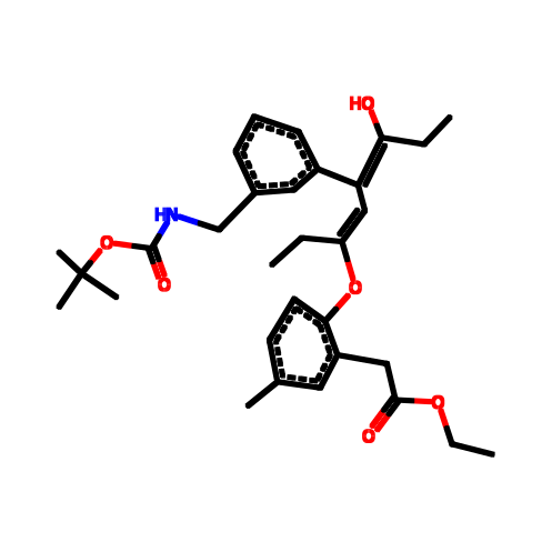 CCOC(=O)Cc1cc(C)ccc1O/C(=C/C(=C(/O)CC)c1cccc(CNC(=O)OC(C)(C)C)c1)CC